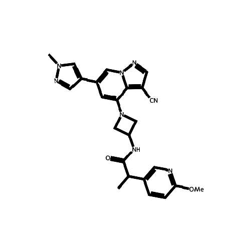 COc1ccc(C(C)C(=O)NC2CN(c3cc(-c4cnn(C)c4)cn4ncc(C#N)c34)C2)cn1